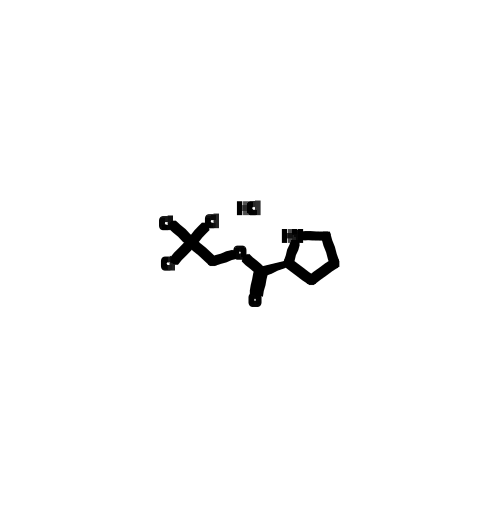 Cl.O=C(OCC(Cl)(Cl)Cl)[C@@H]1CCCN1